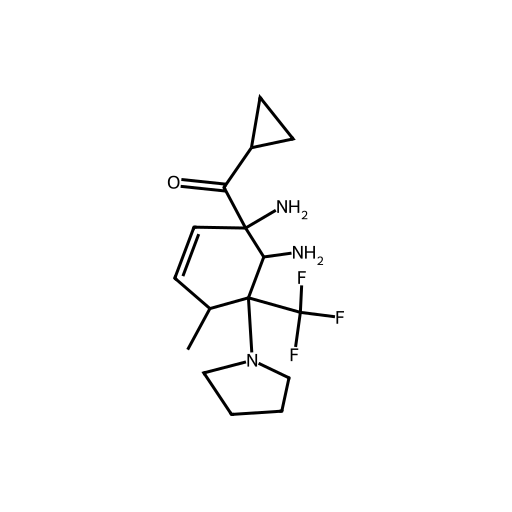 CC1C=CC(N)(C(=O)C2CC2)C(N)C1(N1CCCC1)C(F)(F)F